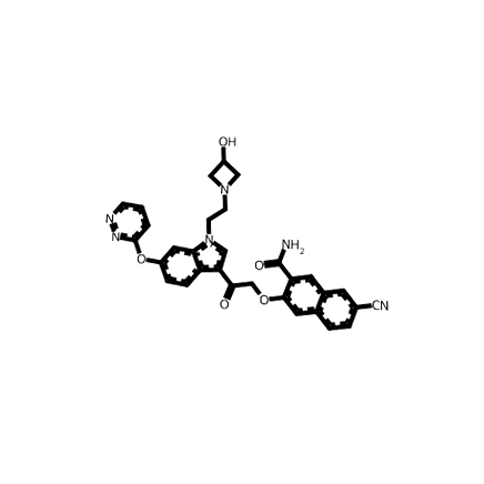 N#Cc1ccc2cc(OCC(=O)c3cn(CCN4CC(O)C4)c4cc(Oc5cccnn5)ccc34)c(C(N)=O)cc2c1